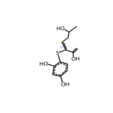 C=C(O)/C(=C\CC(C)O)Sc1ccc(O)cc1O